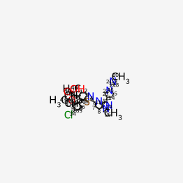 Cc1cc2nc(-c3ccc4c(n3)c(C3CCN(C5CN(C)C5)CC3)nn4C)sc2c(-c2ccc(Cl)cc2)c1C(OC(C)(C)C)C(=O)O